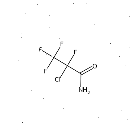 NC(=O)C(F)(Cl)C(F)(F)F